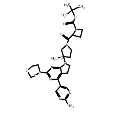 CC(C)(C)OC(=O)N1CCC1C(=O)N1CC[C@](C)(N2CCc3c(-c4cnc(N)nc4)nc(N4CCOCC4)nc32)C1